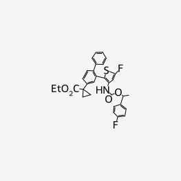 CCOC(=O)C1(c2ccc(-c3ccccc3)c(-c3sc(F)cc3NC(=O)OC(C)c3ccc(F)cc3)c2)CC1